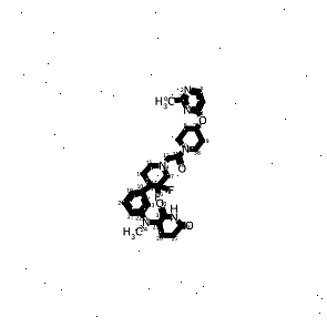 Cc1nccc(OC2CCN(C(=O)CN3CCC(c4cccc(N(C)C5CCC(=O)NC5=O)c4)C(F)(F)C3)CC2)n1